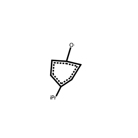 CC(C)c1ccc([O])cc1